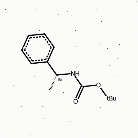 [CH2][C@@H](NC(=O)OC(C)(C)C)c1ccccc1